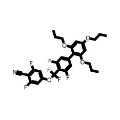 CCCOc1cc(OCCC)c(-c2cc(F)c(C(F)(F)Oc3cc(F)c(C#N)c(F)c3)c(F)c2)c(OCCC)c1